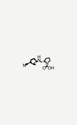 N#Cc1ccc(NC[C@@H]2CCCN2C(=O)O)cc1